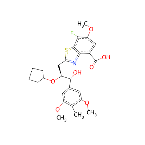 COc1cc([C@@H](O)[C@H](Cc2nc3c(C(=O)O)cc(OC)c(F)c3s2)OC2CCCC2)cc(OC)c1C